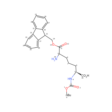 CCCCOC(=O)N[C@@H](CCCC(N)C(=O)OCC1c2ccccc2-c2ccccc21)C(=O)O